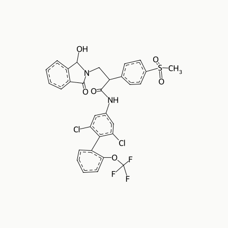 CS(=O)(=O)c1ccc(C(CN2C(=O)c3ccccc3C2O)C(=O)Nc2cc(Cl)c(-c3ccccc3OC(F)(F)F)c(Cl)c2)cc1